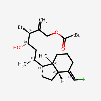 C=C(COC(=O)C(C)(C)C)[C@H](CC)[C@@H](O)C[C@@H](C)[C@H]1CC[C@H]2/C(=C/Br)CCC[C@]12C